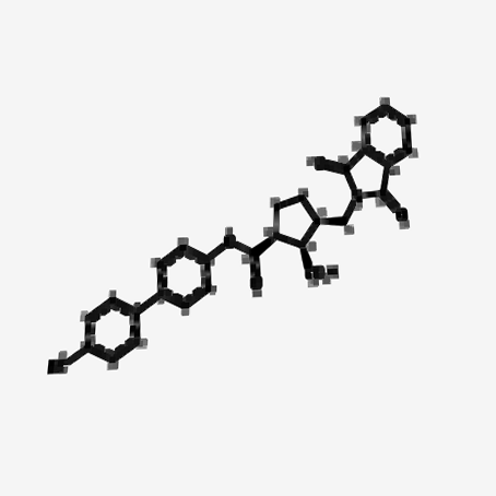 N#Cc1ccc(-c2ccc(OC(=O)[C@H]3CC[C@@H](CN4C(=O)c5ccccc5C4=O)[C@H]3C(=O)O)cc2)cc1